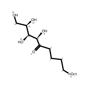 CCCCCCCCCCCCC(=O)[C@H](O)[C@@H](O)[C@H](O)CO